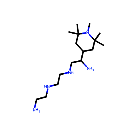 CN1C(C)(C)CC(C(N)CNCCNCCN)CC1(C)C